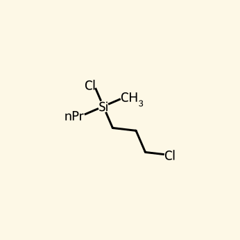 CCC[Si](C)(Cl)CCCCl